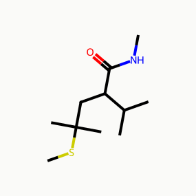 CNC(=O)C(CC(C)(C)SC)C(C)C